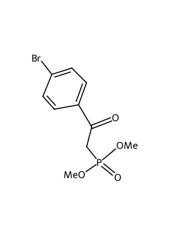 COP(=O)(CC(=O)c1ccc(Br)cc1)OC